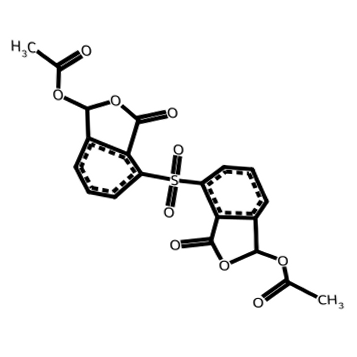 CC(=O)OC1OC(=O)c2c1cccc2S(=O)(=O)c1cccc2c1C(=O)OC2OC(C)=O